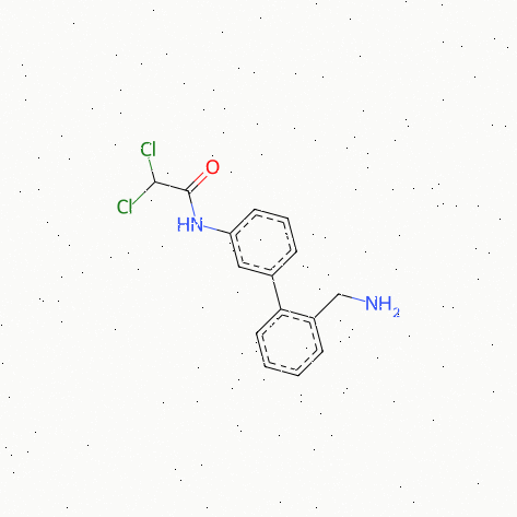 NCc1ccccc1-c1cccc(NC(=O)C(Cl)Cl)c1